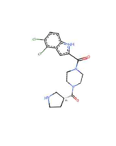 O=C(c1cc2c(Cl)c(Cl)ccc2[nH]1)N1CCN(C(=O)[C@@H]2CCNC2)CC1